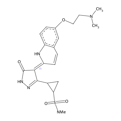 CNS(=O)(=O)C1CC1C1=NNC(=O)/C1=C1/C=Cc2cc(OCCN(C)C)ccc2N1